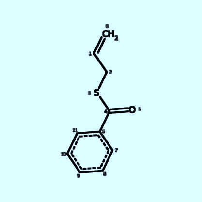 C=CCSC(=O)c1ccccc1